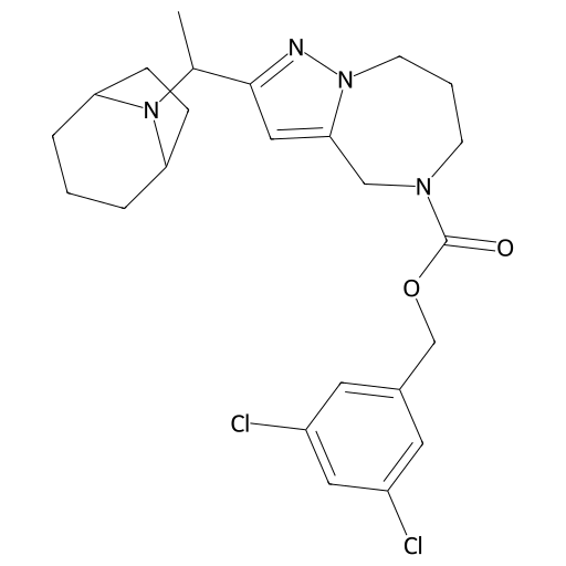 CC(c1cc2n(n1)CCCN(C(=O)OCc1cc(Cl)cc(Cl)c1)C2)N1C2CCCC1CC2